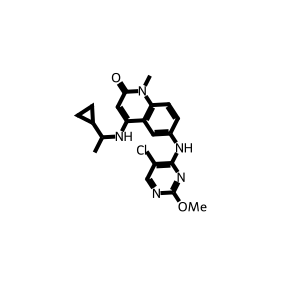 COc1ncc(Cl)c(Nc2ccc3c(c2)c(NC(C)C2CC2)cc(=O)n3C)n1